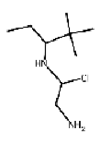 CCC(NC(Cl)CN)C(C)(C)C